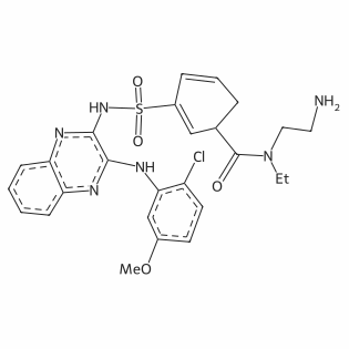 CCN(CCN)C(=O)C1C=C(S(=O)(=O)Nc2nc3ccccc3nc2Nc2cc(OC)ccc2Cl)C=CC1